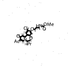 COC(=O)NCCCOc1cc2c(cc1Cl)-c1cc(=O)c(C(C)=O)cn1[C@H](C(C)C)CO2